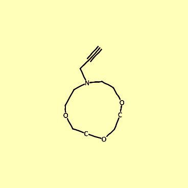 C#CCN1CCOCCOCCOCC1